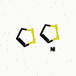 C1=CSSC1.C1=CSSC1.[Ni]